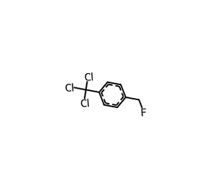 FCc1ccc(C(Cl)(Cl)Cl)cc1